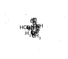 C#CC(O/N=C1/c2cc3c(cc2-c2[nH]c4ccc(OCCN(C)C)cc4c21)OCCO3)c1ccoc1.Cl